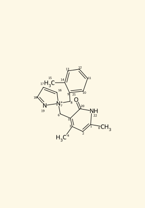 Cc1cc(C)c(C[N+]2(Cc3ccccc3C)C=CC=N2)c(=O)[nH]1